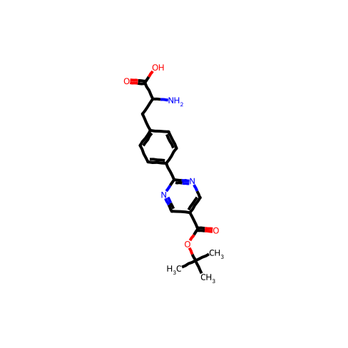 CC(C)(C)OC(=O)c1cnc(-c2ccc(CC(N)C(=O)O)cc2)nc1